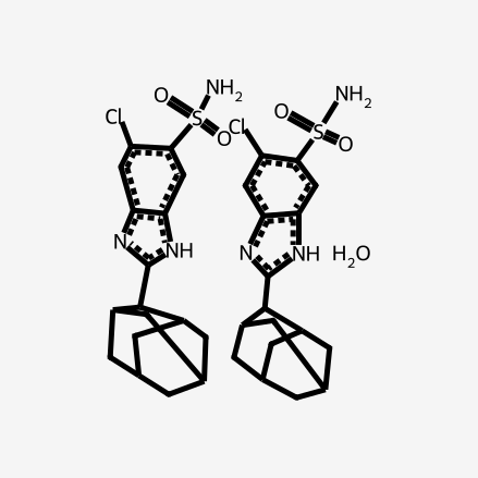 NS(=O)(=O)c1cc2[nH]c(C3C4CC5CC(C4)CC3C5)nc2cc1Cl.NS(=O)(=O)c1cc2[nH]c(C3C4CC5CC(C4)CC3C5)nc2cc1Cl.O